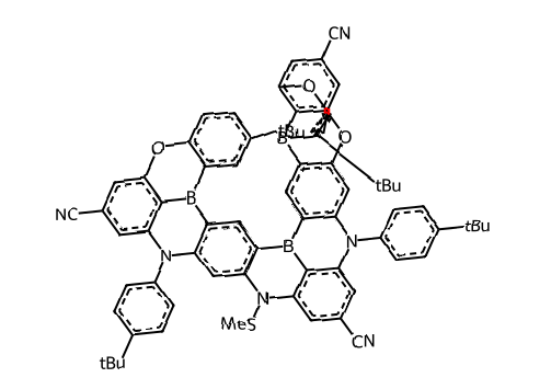 CSN1c2cc3c(cc2B2c4cc5c(cc4N(c4ccc(C(C)(C)C)cc4)c4cc(C#N)cc1c42)Oc1cc(C#N)cc2c1B5c1cc(C(C)(C)C)ccc1O2)B1c2cc(C(C)(C)C)ccc2Oc2cc(C#N)cc(c21)N3c1ccc(C(C)(C)C)cc1